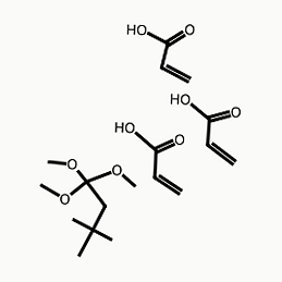 C=CC(=O)O.C=CC(=O)O.C=CC(=O)O.COC(CC(C)(C)C)(OC)OC